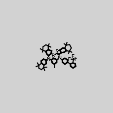 Cc1cc2c3c(c1)N(c1ccc(-c4ccccc4C(F)(F)F)cc1)c1c(sc4cc5c(cc14)C(C)(C)CCC5(C)C)B3c1cc3c(cc1N2c1ccc2c(c1)C(C)(C)CCC2(C)C)C(C)(C)CCC3(C)C